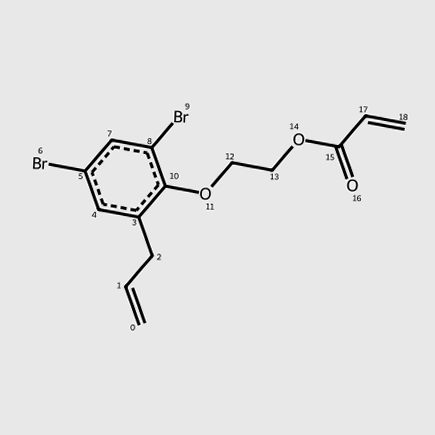 C=CCc1cc(Br)cc(Br)c1OCCOC(=O)C=C